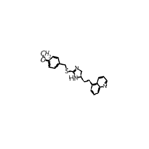 COc1ccc(CSC2=NCC(CCc3cccc4ncccc34)N2)cc1